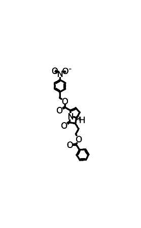 O=C(OCc1ccc([N+](=O)[O-])cc1)C1=CC[C@H]2C(CCOC(=O)c3ccccc3)C(=O)N12